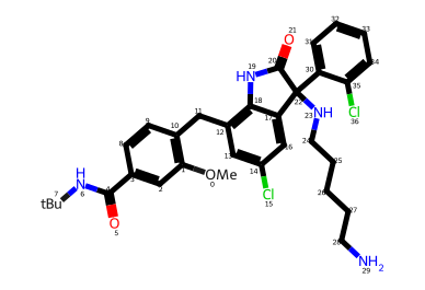 COc1cc(C(=O)NC(C)(C)C)ccc1Cc1cc(Cl)cc2c1NC(=O)C2(NCCCCCN)c1ccccc1Cl